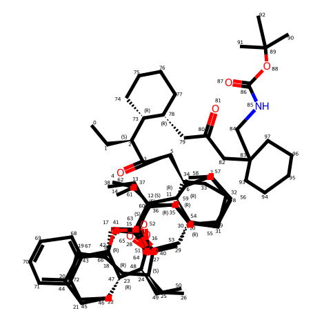 CC[C@H](C(=O)C[C@H]1CCCC[C@H]1[C@H](CC)C(=O)C[C@H]1CCCC[C@H]1[C@H](CC)C(=O)C[C@H]1CCCC[C@H]1[C@H](CC)C(=O)C[C@H]1CCCC[C@H]1[C@H](CC)C(=O)C[C@H]1CCCC[C@H]1[C@H](CC)C(=O)OCc1ccccc1)[C@@H]1CCCC[C@@H]1CC(=O)CC1(CNC(=O)OC(C)(C)C)CCCCC1